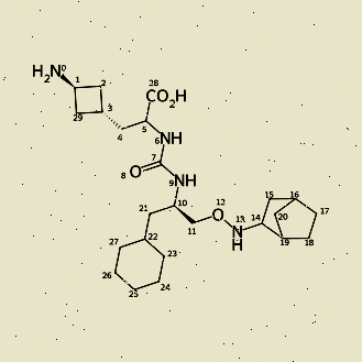 N[C@H]1C[C@H](CC(NC(=O)N[C@@H](CONC2CC3CCC2C3)CC2CCCCC2)C(=O)O)C1